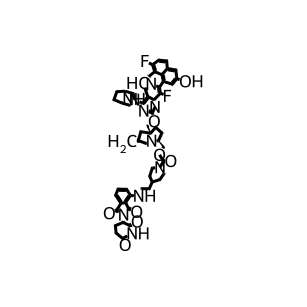 C#Cc1c(F)ccc2cc(O)cc(-c3ncc4c(N5CC6CCC(C5)N6)nc(OC[C@@]56CC[C@@H](COC(=O)N7CCC(CCNc8cccc9c8C(=O)N(C8CCC(=O)NC8=O)C9=O)CC7)N5CC(=C)C6)nc4c3F)c12